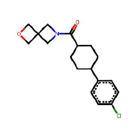 O=C(C1CCC(c2ccc(Cl)cc2)CC1)N1CC2(COC2)C1